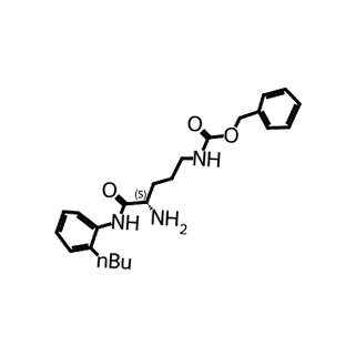 CCCCc1ccccc1NC(=O)[C@@H](N)CCCNC(=O)OCc1ccccc1